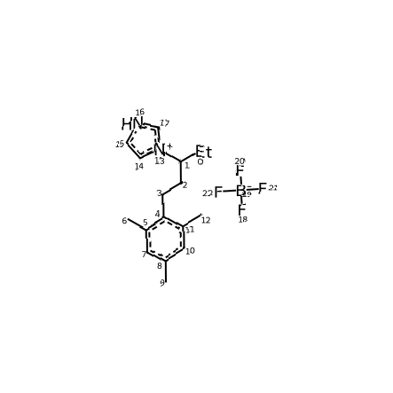 CCC(CCc1c(C)cc(C)cc1C)[n+]1cc[nH]c1.F[B-](F)(F)F